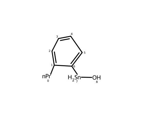 CCCc1cccc[c]1[SnH2][OH]